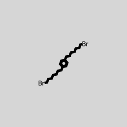 BrCCCCCCCc1ccc(CCCCCCCBr)cc1